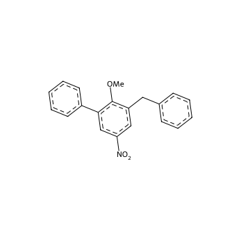 COc1c(Cc2ccccc2)cc([N+](=O)[O-])cc1-c1ccccc1